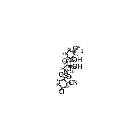 N#Cc1cc(Cl)ccc1S(=O)(=O)N1CC(Oc2ccc(C(F)(F)F)cc2)[C@](O)(CO)C1